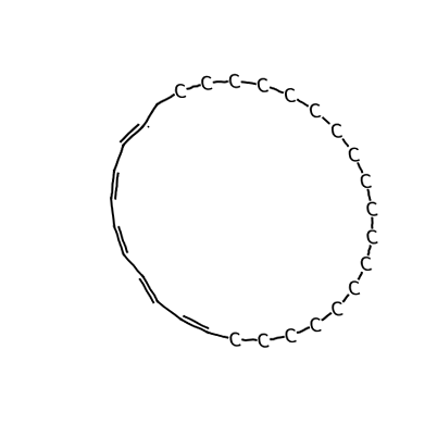 [C]1=C/C=C\C=C/C=C/C=C\CCCCCCCCCCCCCCCCCCC/1